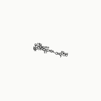 CCc1cc(Nc2ncc(Br)c(Nc3ccc4nccnc4c3P(C)(C)=O)n2)c(OC)cc1N1CCC(N2CCN(CCC3CCN(c4cc(F)c(C5CCC(=O)NC5=O)c(F)c4)CC3)CC2)CC1